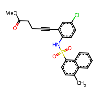 COC(=O)CCC#Cc1cc(Cl)ccc1NS(=O)(=O)c1ccc(C)c2ccccc12